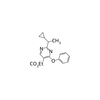 CCOC(=O)c1cnc(C(C)C2CC2)nc1Oc1ccccc1